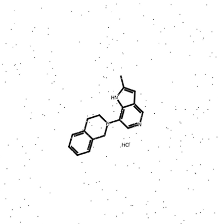 Cc1cc2cncc(N3CCc4ccccc4C3)c2[nH]1.Cl